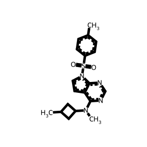 Cc1ccc(S(=O)(=O)n2ccc3c(N(C)C4CC(C)C4)ncnc32)cc1